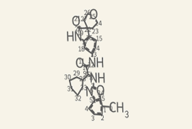 Cc1cccc2nc(N[C@H](C(=O)Nc3ccc4c(c3)NC(=O)C43CCOCC3)C3CCCCC3)oc12